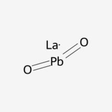 [La].[O]=[Pb]=[O]